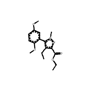 CCOC(=O)c1nn(C)c(-c2cc(OC)ccc2OC)c1CC